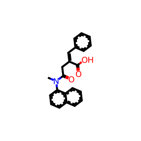 CN(C(=O)CC(=Cc1ccccc1)C(=O)O)c1cccc2ccccc12